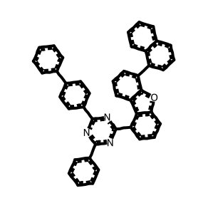 c1ccc(-c2ccc(-c3nc(-c4ccccc4)nc(-c4cccc5oc6c(-c7cccc8ccccc78)cccc6c45)n3)cc2)cc1